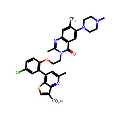 Cc1cc(-c2cc(Cl)ccc2OCCn2c(C)nc3cc(C(F)(F)F)c(N4CCN(C)CC4)cc3c2=O)c2scc(C(=O)O)c2n1